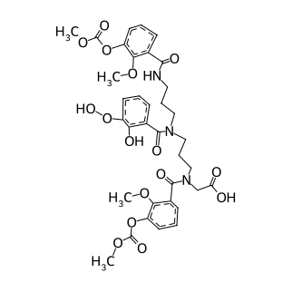 COC(=O)Oc1cccc(C(=O)NCCCN(CCCN(CC(=O)O)C(=O)c2cccc(OC(=O)OC)c2OC)C(=O)c2cccc(OO)c2O)c1OC